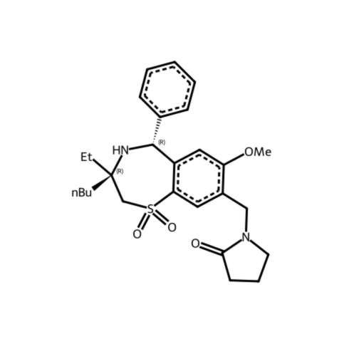 CCCC[C@]1(CC)CS(=O)(=O)c2cc(CN3CCCC3=O)c(OC)cc2[C@@H](c2ccccc2)N1